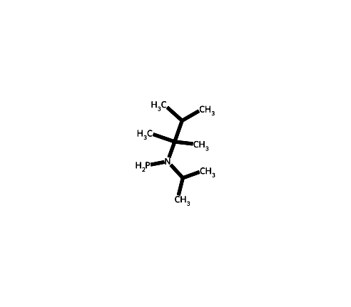 CC(C)N(P)C(C)(C)C(C)C